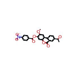 COc1cc2c(cc1OC(=O)c1ccc([N+](=O)[O-])cc1)oc(=O)c1cc(C(C)=O)ccc12